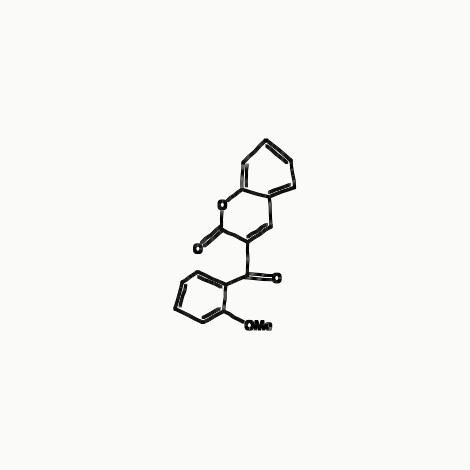 COc1ccccc1C(=O)c1cc2ccccc2oc1=O